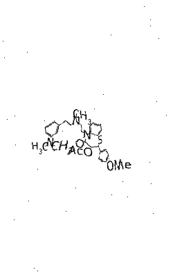 COc1ccc(C2Sc3ccccc3N(CCN(C)CCc3cccc(N(C)C)c3)C(=O)C2OC(C)=O)cc1